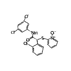 O=C(Nc1cc(Cl)cc(Cl)c1)C(Sc1cccc[n+]1[O-])c1ccccc1Cl